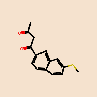 CSc1ccc2ccc(C(=O)CC(C)=O)cc2c1